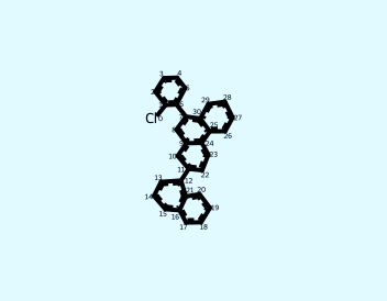 Clc1ccccc1-c1cc2cc(-c3cccc4ccccc34)ccc2c2ccccc12